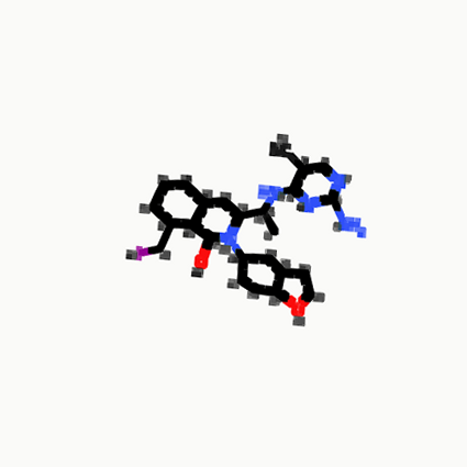 C[C@H](Nc1nc(N)ncc1C#N)c1cc2cccc(CI)c2c(=O)n1-c1ccc2occc2c1